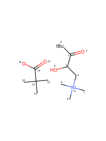 CC(C)(C)C(=O)C(O)C[N+](C)(C)C.CC(C)(C)C(=O)[O-]